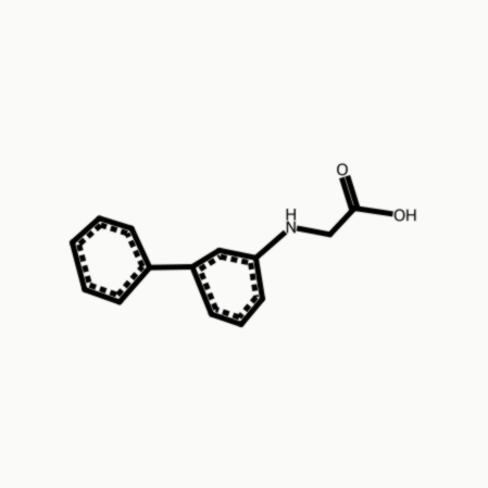 O=C(O)CNc1cccc(-c2ccccc2)c1